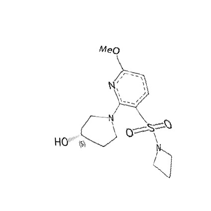 COc1ccc(S(=O)(=O)N2CCC2)c(N2CC[C@H](O)C2)n1